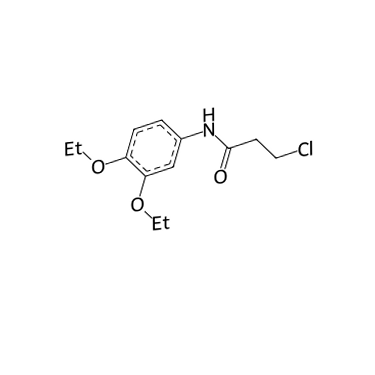 CCOc1ccc(NC(=O)CCCl)cc1OCC